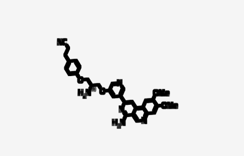 COc1cc2ncc3c(N)nc(-c4cncc(OC[C@@H](N)COc5ccc(CCC#N)cc5)c4)cc3c2cc1OC